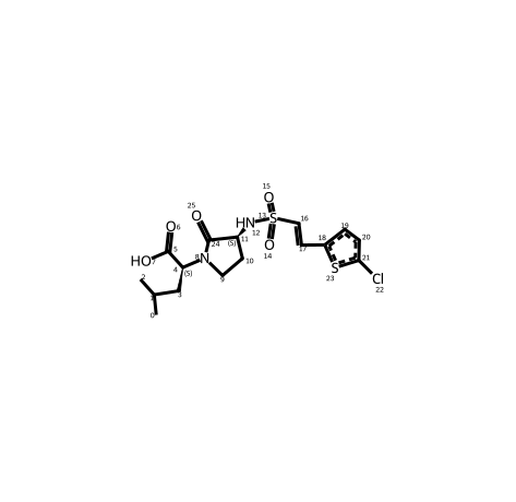 CC(C)C[C@@H](C(=O)O)N1CC[C@H](NS(=O)(=O)C=Cc2ccc(Cl)s2)C1=O